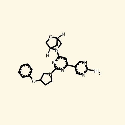 Nc1ncc(-c2cc(N3C[C@@H]4C[C@H]3CO4)nc(N3CCC(Oc4ccccc4)C3)n2)cn1